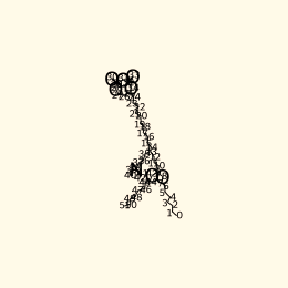 CCCCCCCCOC(CCCC(CCCCCCCCCCCC1CCOC(=O)OC(=O)O1)CCCN(CC)CC)OCCCCCCCC